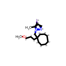 COCCCC1(Cn2ncc(I)c2C)CCCCCCC1